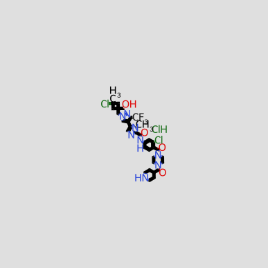 Cl.Cn1c(-c2cn(CC3(CO)CC(C)(Cl)C3)nc2C(F)(F)F)cnc1C(=O)Nc1ccc(C(=O)N2CCN(C(=O)C3CCNCC3)CC2)c(Cl)c1